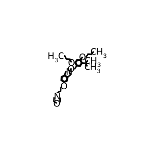 CCCCOc1cc(OCCCC)c(C(C)C)cc1CON1Cc2ccc(OCCCN3CCOCC3)cc2C1